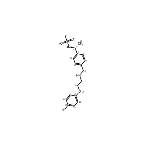 CS(=O)(=O)N[C@@H](c1ccc(CNCCOc2ccc(F)cc2)cc1)C(F)(F)F